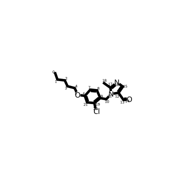 CCCCCOc1ccc(Cn2c(C=O)cnc2C)c(Cl)c1